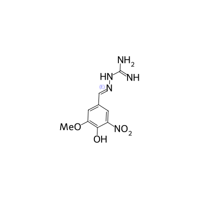 COc1cc(/C=N/NC(=N)N)cc([N+](=O)[O-])c1O